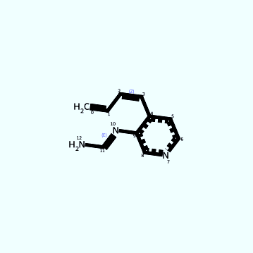 C=C/C=C\c1ccncc1/N=C/N